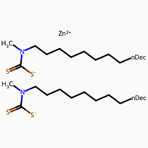 CCCCCCCCCCCCCCCCCCN(C)C(=S)[S-].CCCCCCCCCCCCCCCCCCN(C)C(=S)[S-].[Zn+2]